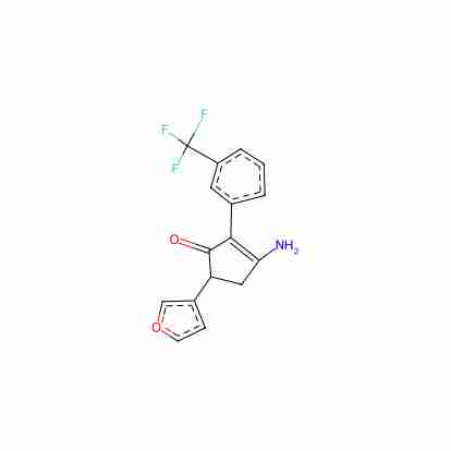 NC1=C(c2cccc(C(F)(F)F)c2)C(=O)C(c2ccoc2)C1